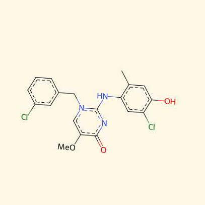 COc1cn(Cc2cccc(Cl)c2)c(Nc2cc(Cl)c(O)cc2C)nc1=O